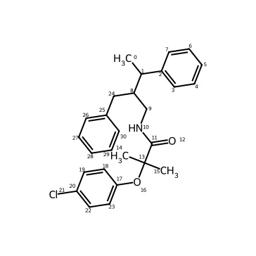 CC(c1ccccc1)C(CNC(=O)C(C)(C)Oc1ccc(Cl)cc1)Cc1ccccc1